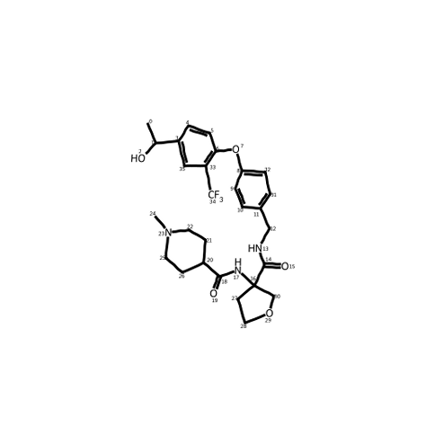 CC(O)c1ccc(Oc2ccc(CNC(=O)C3(NC(=O)C4CCN(C)CC4)CCOC3)cc2)c(C(F)(F)F)c1